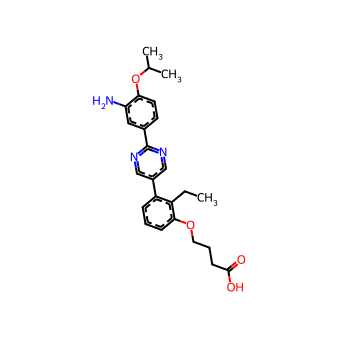 CCc1c(OCCCC(=O)O)cccc1-c1cnc(-c2ccc(OC(C)C)c(N)c2)nc1